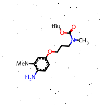 CNc1cc(OCCCN(C)C(=O)OC(C)(C)C)ccc1N